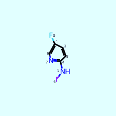 Fc1ccc(NI)nc1